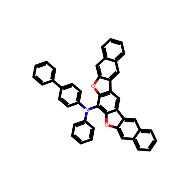 c1ccc(-c2ccc(N(c3ccccc3)c3c4oc5cc6ccccc6cc5c4cc4c3oc3cc5ccccc5cc34)cc2)cc1